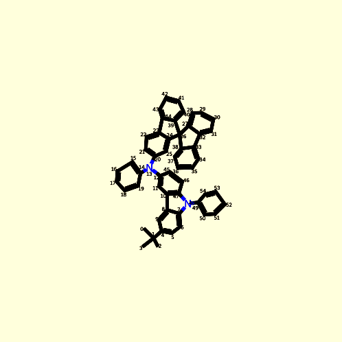 CC(C)(C)c1ccc2c(c1)c1cc(N(c3ccccc3)c3ccc4c(c3)C3(c5ccccc5-c5ccccc53)c3ccccc3-4)ccc1n2-c1ccccc1